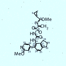 C=C(/N=C(\OC)C1CC1)S(=O)(=O)NC(=O)Nc1c(-c2ccnc(OC)c2)ccc2c1CCC2